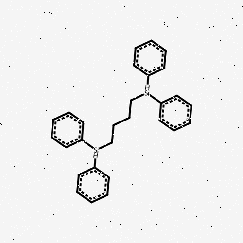 c1ccc([SiH](CCCC[SiH](c2ccccc2)c2ccccc2)c2ccccc2)cc1